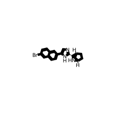 Brc1ccc2cc(-c3cnc([C@H]4N[C@@H]5CC[C@H]4C5)[nH]3)ccc2c1